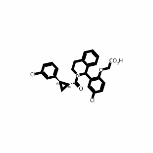 O=C(O)COc1ccc(Cl)cc1C1c2ccccc2CCN1C(=O)[C@@H]1C[C@H]1c1cccc(Cl)c1